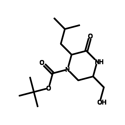 CC(C)CC1C(=O)NC(CO)CN1C(=O)OC(C)(C)C